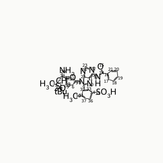 CC(C)(C)[Si](C)(C)O[C@H]1C[C@H](n2cnc3c(NC(=O)c4ccccc4)ncnc32)O[C@@H]1CN.Cc1ccc(S(=O)(=O)O)cc1